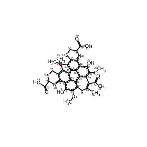 COc1c(O)c2c3c(c(OC)c4c5c(OC)c6c(c7c(O)c(OC)c8c(c(c1CC(C)=C8C(C)=O)c24)c75)=NC(C(=O)O)CS6)CSC(C(=O)O)N=3